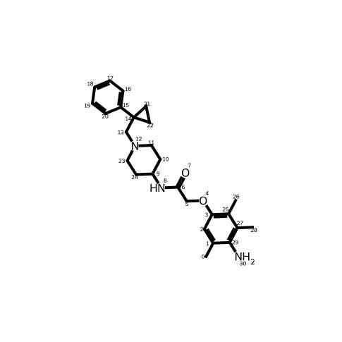 Cc1cc(OCC(=O)NC2CCN(CC3(c4ccccc4)CC3)CC2)c(C)c(C)c1N